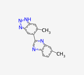 Cc1ccc2ncc(-c3cc4nn[nH]c4cc3C)nc2c1